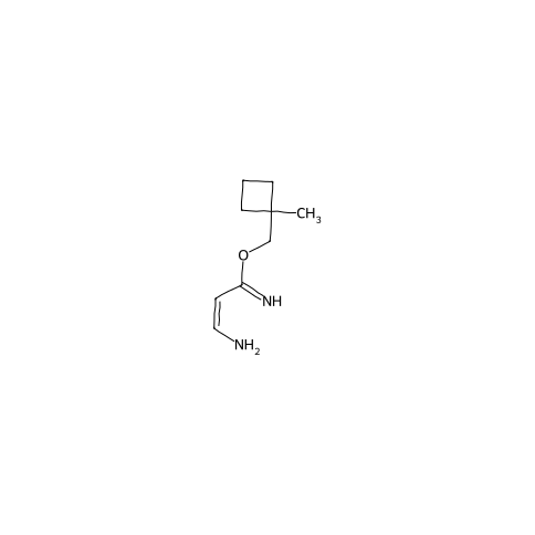 CC1(COC(=N)/C=C\N)CCC1